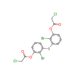 O=C(CCl)Oc1cccc(Sc2cccc(OC(=O)CCl)c2Br)c1Br